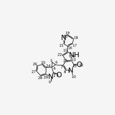 CN1C(=O)C2(CC2c2cn(C)c(=O)c3[nH]c(-c4cccnc4)cc23)c2ccccc21